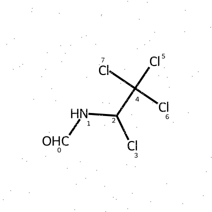 O=CNC(Cl)C(Cl)(Cl)Cl